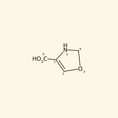 O=C(O)C1=COCN1